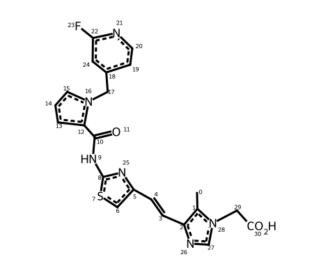 Cc1c(/C=C/c2csc(NC(=O)c3cccn3Cc3ccnc(F)c3)n2)ncn1CC(=O)O